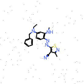 CCN(Cc1ccccc1)c1ccc(N=Nc2snc(C)c2C#N)c(NC)c1